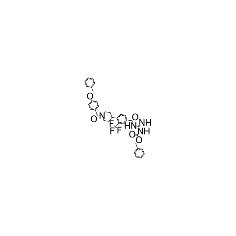 N=C(NC(=O)OCc1ccccc1)NC(=O)c1ccc(C2CCN(C(=O)c3ccc(OCc4ccccc4)cc3)CC2)c(C(F)(F)F)c1